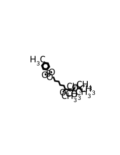 COC(CCCCCOS(=O)(=O)c1ccc(C)cc1)C(C)(C)C(=O)OC(C)(C)C